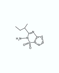 CCC(C)C1=Nc2sccc2S(=O)(=O)N1N